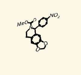 COC(=O)N1CCc2cc3c(cc2C1c1ccc([N+](=O)[O-])cc1)OCO3